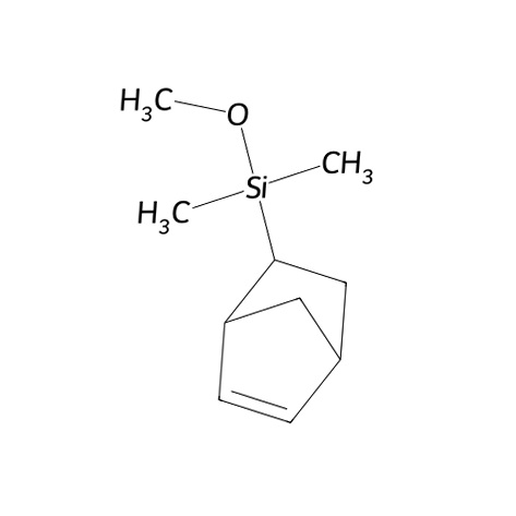 CO[Si](C)(C)C1CC2C=CC1C2